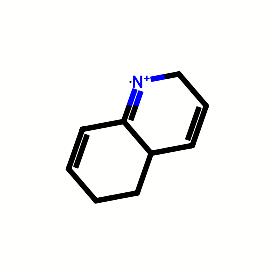 C1=CC2=[N+]CC=CC2CC1